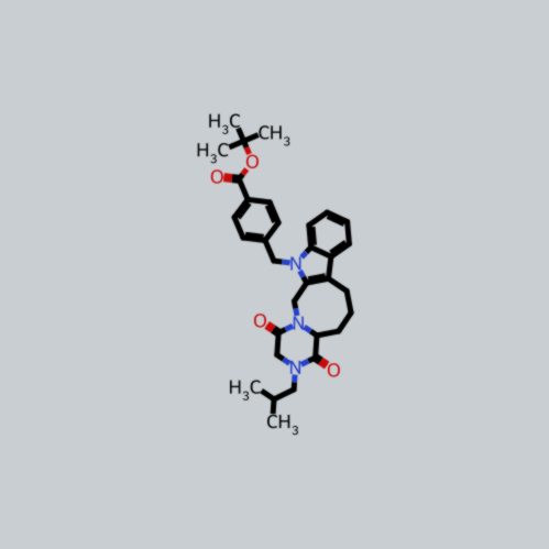 CC(C)CN1CC(=O)N2Cc3c(c4ccccc4n3Cc3ccc(C(=O)OC(C)(C)C)cc3)CCCC2C1=O